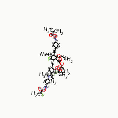 C=CC(=O)OC#Cc1c(C#Cc2ccc(/C(C)=C(\C)c3ccc(/C=C/OC(=O)C(=C)F)cc3)cc2OC(=O)C(=C)F)c(F)c(OC)c(C#Cc2ccc(/C=C/OC(=O)C(=C)C)cc2)c1OC(=O)C=C